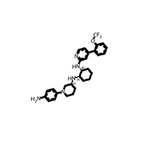 Nc1ccc(N2CCC[C@H](N[C@@H]3CCCC[C@H]3Nc3cc(-c4ccccc4OC(F)(F)F)ccn3)C2)cc1